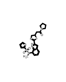 CN(c1cccc2cc(C3=NCC(CC(=O)N4CCCC4)S3)[nH]c12)S(=O)(=O)c1cccs1